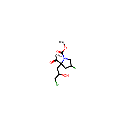 COC(=O)C1(CC(O)CBr)CC(F)CN1C(=O)OC(C)(C)C